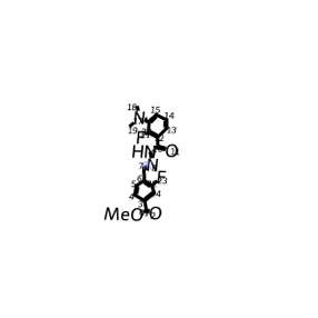 COC(=O)c1ccc(/C=N/NC(=O)c2cccc(N(C)C)c2F)c(F)c1